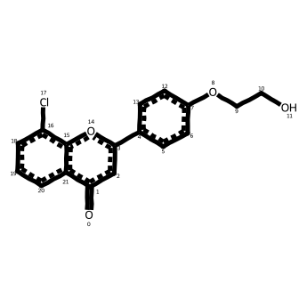 O=c1cc(-c2ccc(OCCO)cc2)oc2c(Cl)cccc12